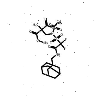 CC(C)(C)OC(=O)C(C)(CN(S(C)(=O)=O)S(=O)(=O)C(F)(F)C(=O)NCC12CC3CC(CC(C3)C1)C2)C(=O)OC(C)(C)C